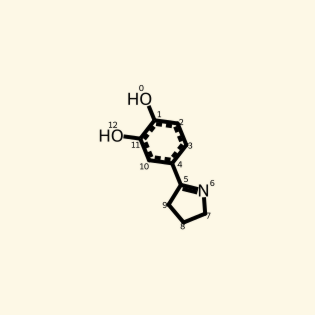 Oc1ccc(C2=NCCC2)cc1O